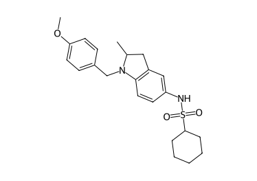 COc1ccc(CN2c3ccc(NS(=O)(=O)C4CCCCC4)cc3CC2C)cc1